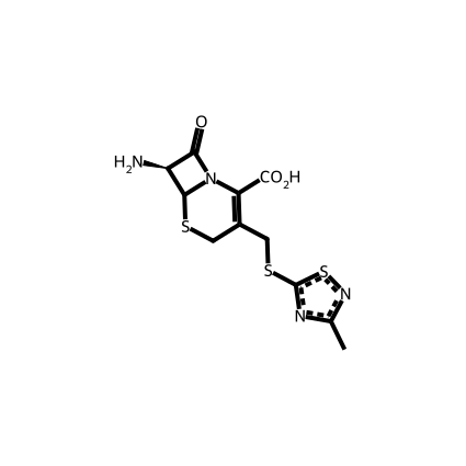 Cc1nsc(SCC2=C(C(=O)O)N3C(=O)[C@H](N)C3SC2)n1